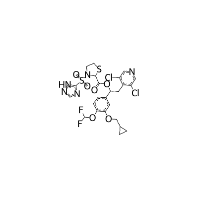 O=C(OC(Cc1c(Cl)cncc1Cl)c1ccc(OC(F)F)c(OCC2CC2)c1)C1SCCN1S(=O)(=O)c1ncn[nH]1